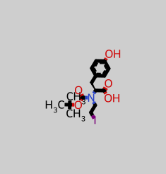 CC(C)(C)OC(=O)N(CCI)[C@@H](Cc1ccc(O)cc1)C(=O)O